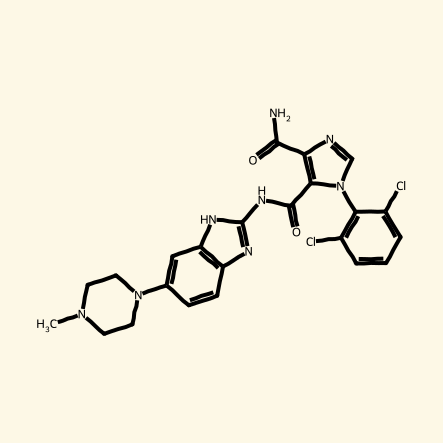 CN1CCN(c2ccc3nc(NC(=O)c4c(C(N)=O)ncn4-c4c(Cl)cccc4Cl)[nH]c3c2)CC1